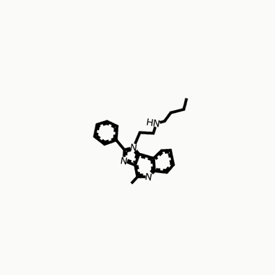 CCCCNCCn1c(-c2ccccc2)nc2c(C)nc3ccccc3c21